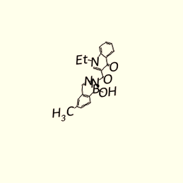 CCn1cc(C(=O)N2N=Cc3cc(C)ccc3B2O)c(=O)c2ccccc21